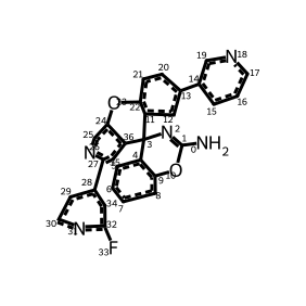 NC1=NC2(c3ccccc3O1)c1cc(-c3cccnc3)ccc1Oc1cnc(-c3ccnc(F)c3)cc12